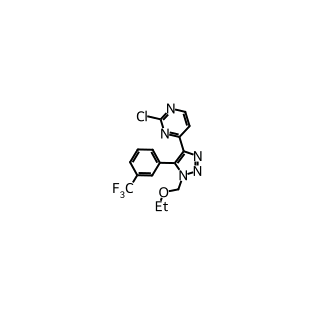 CCOCn1nnc(-c2ccnc(Cl)n2)c1-c1cccc(C(F)(F)F)c1